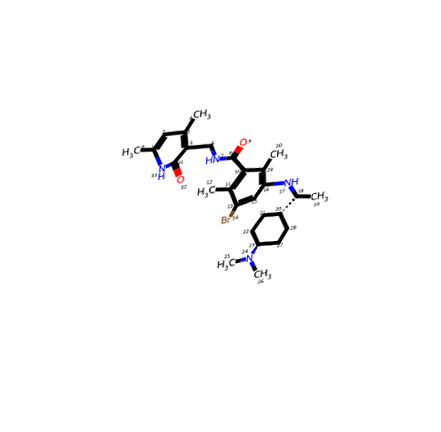 Cc1cc(C)c(CNC(=O)c2c(C)c(Br)cc(NC(C)[C@H]3CC[C@H](N(C)C)CC3)c2C)c(=O)[nH]1